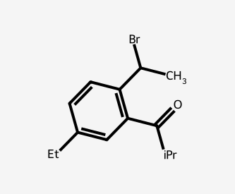 CCc1ccc(C(C)Br)c(C(=O)C(C)C)c1